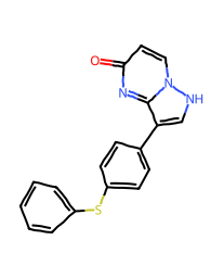 O=c1ccn2[nH]cc(-c3ccc(Sc4ccccc4)cc3)c2n1